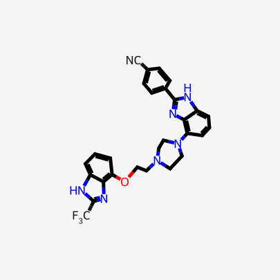 N#Cc1ccc(-c2nc3c(N4CCN(CCOc5cccc6[nH]c(C(F)(F)F)nc56)CC4)cccc3[nH]2)cc1